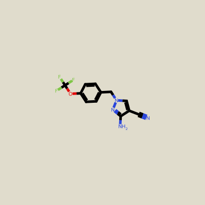 N#Cc1cn(Cc2ccc(OC(F)(F)F)cc2)nc1N